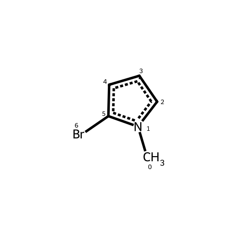 Cn1c[c]cc1Br